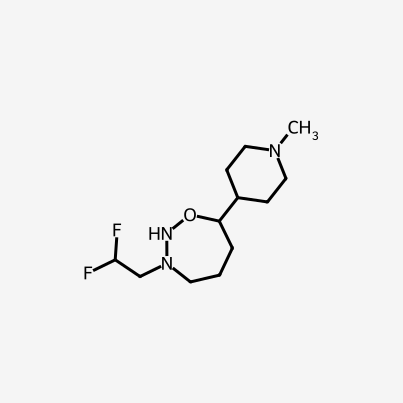 CN1CCC(C2CCCN(CC(F)F)NO2)CC1